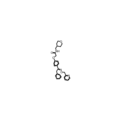 O=C(COc1ccc(C(Cc2ccccc2)=NOCc2ccccn2)cc1)NCC1CCOCC1